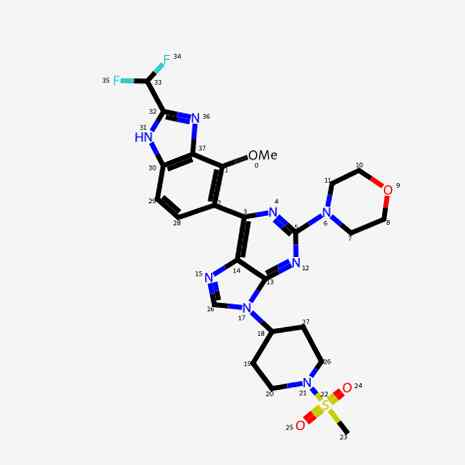 COc1c(-c2nc(N3CCOCC3)nc3c2ncn3C2CCN(S(C)(=O)=O)CC2)ccc2[nH]c(C(F)F)nc12